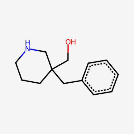 OCC1(Cc2ccccc2)CCCNC1